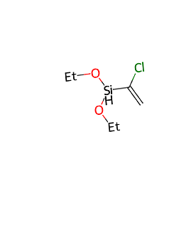 C=C(Cl)[SiH](OCC)OCC